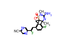 CN1C(N)=N[C@](C)(c2cc(/C=C(\F)c3cnc(C#N)cn3)ccc2F)C2(CC2)S1(=O)=O